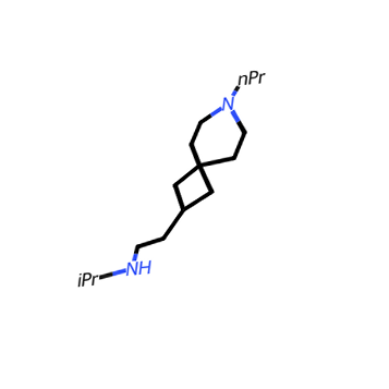 CCCN1CCC2(CC1)CC(CCNC(C)C)C2